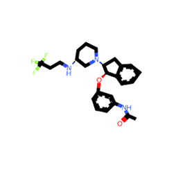 CC(=O)Nc1cccc(O[C@@H]2c3ccccc3C[C@H]2N2CCC[C@@H](NCCC(F)(F)F)C2)c1